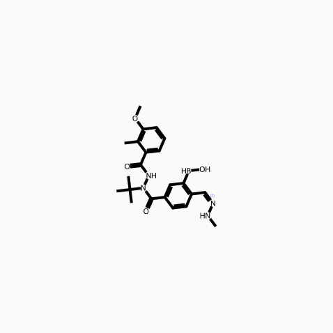 CN/N=C\c1ccc(C(=O)N(NC(=O)c2cccc(OC)c2C)C(C)(C)C)cc1BO